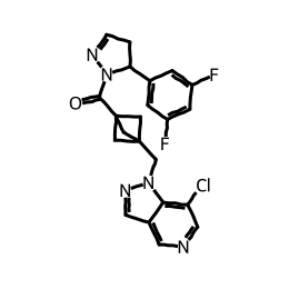 O=C(N1N=CCC1c1cc(F)cc(F)c1)C12CC(Cn3ncc4cncc(Cl)c43)(C1)C2